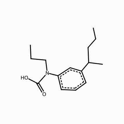 CCCC(C)c1cccc(N(CCC)C(=O)O)c1